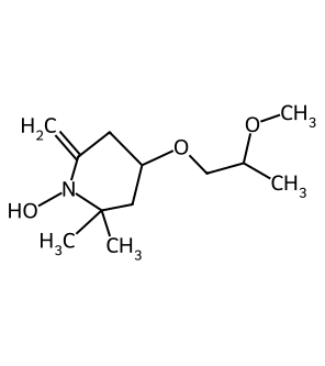 C=C1CC(OCC(C)OC)CC(C)(C)N1O